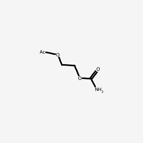 CC(=O)OC[CH]OC(N)=O